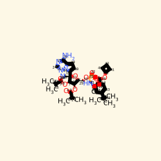 CC(C)C(=O)O[C@H]1[C@@H](OC(=O)C(C)C)[C@](C#N)(c2ccc3c(N)ncnn23)O[C@@H]1COP(=O)(N[C@@H](C)CC(=O)OC1CCC1)Oc1ccc(C(C)(C)C)cc1